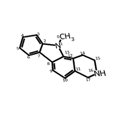 Cn1c2ccccc2c2ccc3c(c21)CCNC3